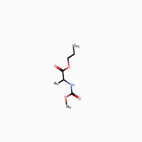 CCCCCCCCCCCCOC(=O)C(NC(=O)OC(C)(C)C)C(C)CC